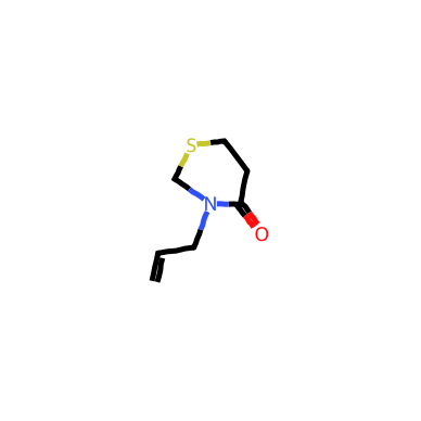 C=CCN1CSCCC1=O